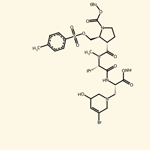 COC(=O)[C@H](CN1CC(Br)=CC(O)C1)NC(=O)[C@H](C(C)C)N(C)C(=O)[C@H]1CCN(C(=O)OC(C)(C)C)[C@@H]1COS(=O)(=O)c1ccc(C)cc1